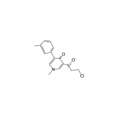 Cc1cccc(-c2cn(C)cc([S+]([O-])CCCl)c2=O)c1